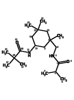 CC(C)C(=O)NCC1(C)CC(NC(=O)C(C)(C)C)CC(C)(C)C1